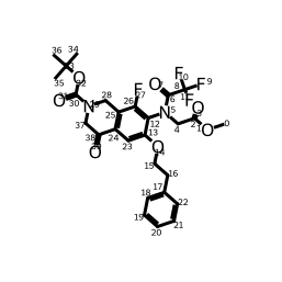 COC(=O)CN(C(=O)C(F)(F)F)c1c(OCCc2ccccc2)cc2c(c1F)CN(C(=O)OC(C)(C)C)CC2=O